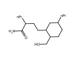 CCCC1CCC(CO)C(CCC(CCC)C(N)=O)C1